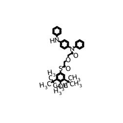 CC(C)(C)c1cc(SC(=O)COCC(=O)N(c2ccccc2)c2ccc(Nc3ccccc3)cc2)cc(C(C)(C)C)c1O